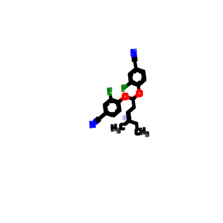 CC/C(C)=C\CC(Oc1ccc(C#N)cc1F)Oc1ccc(C#N)cc1F